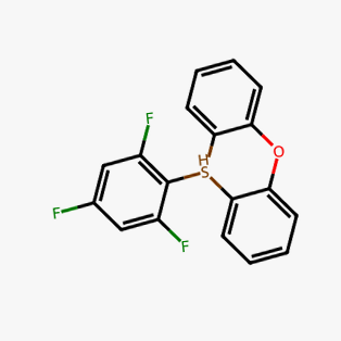 Fc1cc(F)c([SH]2c3ccccc3Oc3ccccc32)c(F)c1